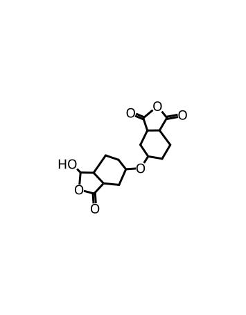 O=C1OC(=O)C2CC(OC3CCC4C(O)OC(=O)C4C3)CCC12